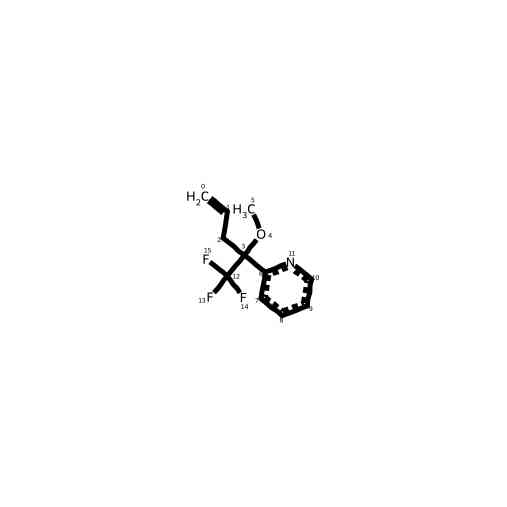 C=CCC(OC)(c1ccccn1)C(F)(F)F